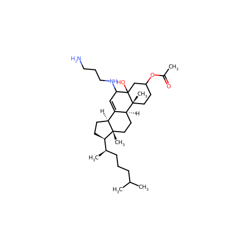 CC(=O)OC1CC[C@]2(C)[C@H]3CC[C@]4(C)[C@@H]([C@H](C)CCCC(C)C)CC[C@H]4C3=CC(NCCCN)C2(O)C1